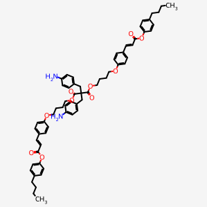 CCCCc1ccc(OC(=O)C=Cc2ccc(OCCCCOC(=O)C(Cc3ccc(N)cc3)(Cc3ccc(N)cc3)C(=O)OCCCCOc3ccc(C=CC(=O)Oc4ccc(CCCC)cc4)cc3)cc2)cc1